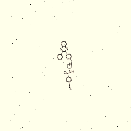 N#Cc1ccc(C(=O)N[C@@H]2CCN(Cc3ccc(-c4nc5ccccc5nc4-c4ccccc4)cc3)C2)cc1